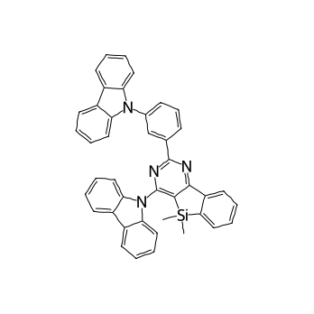 C[Si]1(C)c2ccccc2-c2nc(-c3cccc(-n4c5ccccc5c5ccccc54)c3)nc(-n3c4ccccc4c4ccccc43)c21